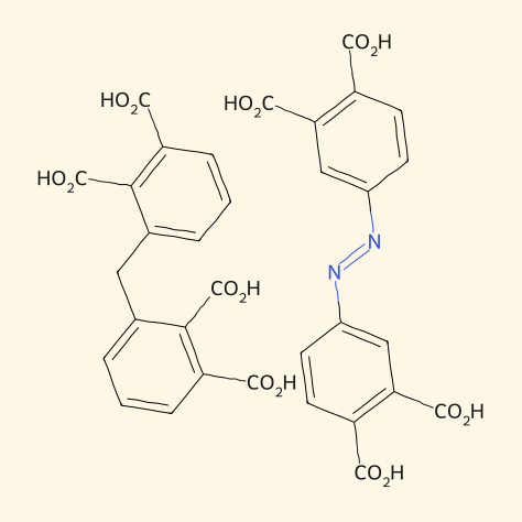 O=C(O)c1ccc(N=Nc2ccc(C(=O)O)c(C(=O)O)c2)cc1C(=O)O.O=C(O)c1cccc(Cc2cccc(C(=O)O)c2C(=O)O)c1C(=O)O